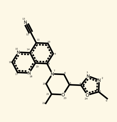 Cc1nnc(C2CN(c3ccc(C#N)c4nccnc34)CC(C)O2)o1